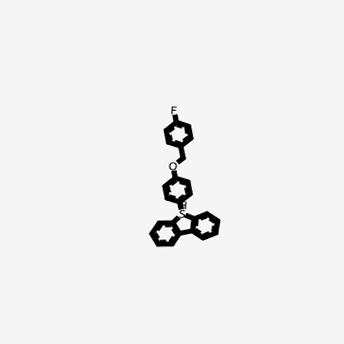 Fc1ccc(COc2ccc([SH]3c4ccccc4-c4ccccc43)cc2)cc1